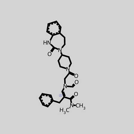 CN(C)C(=O)/C(=C\N(C=O)CC(=O)N1CCC(N2CCc3ccccc3NC2=O)CC1)Cc1ccccc1